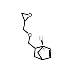 C1=C[C@@H]2CC1CC2COCC1CO1